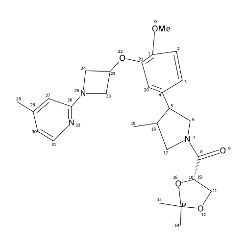 COc1ccc(C2CN(C(=O)[C@@H]3COC(C)(C)O3)CC2C)cc1OC1CN(c2cc(C)ccn2)C1